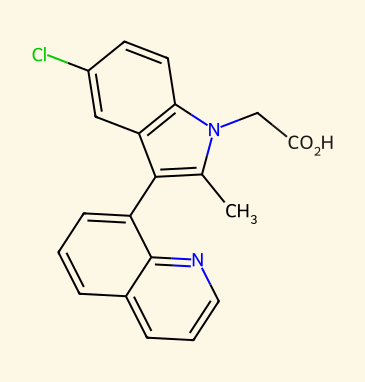 Cc1c(-c2cccc3cccnc23)c2cc(Cl)ccc2n1CC(=O)O